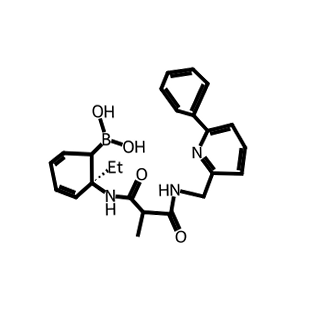 CC[C@]1(NC(=O)C(C)C(=O)NCc2cccc(-c3ccccc3)n2)C=CC=CC1B(O)O